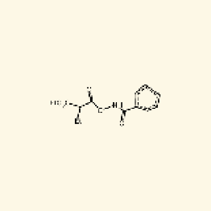 CCOC(=O)C(CC)C(=O)ONC(=O)c1ccccc1